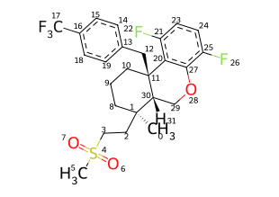 C[C@]1(CCS(C)(=O)=O)CCC[C@]2(Cc3ccc(C(F)(F)F)cc3)c3c(F)ccc(F)c3OC[C@H]12